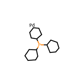 C1CCC(P(C2CCCCC2)C2CCCCC2)CC1.[Pd]